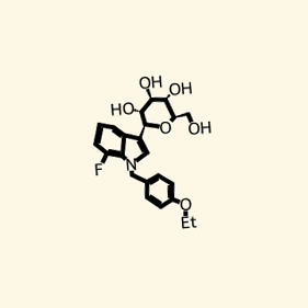 CCOc1ccc(Cn2cc([C@@H]3O[C@H](CO)[C@@H](O)[C@H](O)[C@H]3O)c3cccc(F)c32)cc1